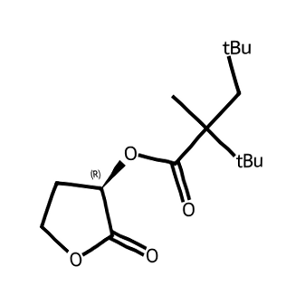 CC(C)(C)CC(C)(C(=O)O[C@@H]1CCOC1=O)C(C)(C)C